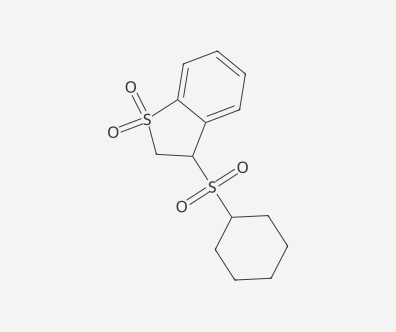 O=S1(=O)CC(S(=O)(=O)C2CCCCC2)c2ccccc21